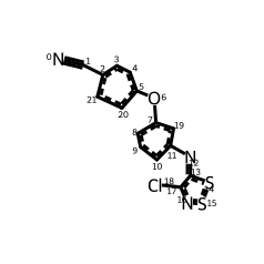 N#Cc1ccc(Oc2cccc(N=c3ssnc3Cl)c2)cc1